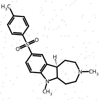 Cc1ccc(S(=O)(=O)c2ccc3c(c2)[C@H]2CCN(C)CCC2N3C)cc1